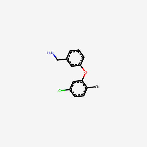 N#Cc1ccc(Cl)cc1Oc1cccc(CN)c1